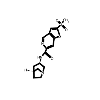 CS(=O)(=O)c1cc2cnc(C(=O)N[C@@H]3C[C@@H]4CCN(C4)C3)cc2s1